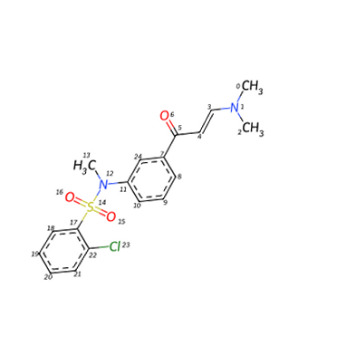 CN(C)C=CC(=O)c1cccc(N(C)S(=O)(=O)c2ccccc2Cl)c1